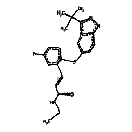 CCNC(=O)/C=C/c1cc(F)ccc1Sc1ccc2nnc(C(C)(C)C)n2c1